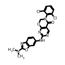 CN(C)c1nc2ccc(Nc3ncc4c(n3)OCN(c3c(Cl)cccc3Cl)C4=O)cc2o1